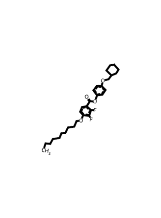 CCCCCCCCCCOc1ccc(C(=O)Oc2ccc(OCC3CC[CH]CC3)cc2)c(F)c1F